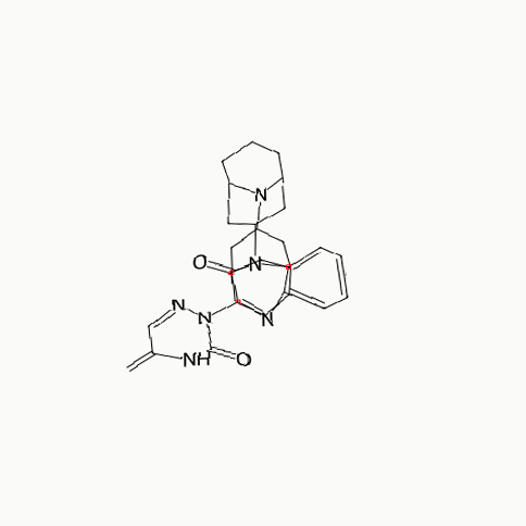 C=C1C=NN(c2nc3ccccc3n(C3CC4CCCC(C3)N4C3CC4CCCC(C4)C3)c2=O)C(=O)N1